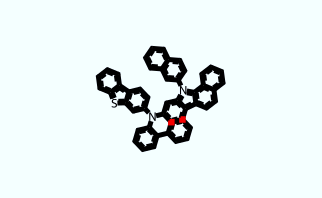 c1ccc(-c2ccccc2N(c2ccc3c(c2)sc2ccccc23)c2ccc3c4ccc5ccccc5c4n(-c4ccc5ccccc5c4)c3c2)cc1